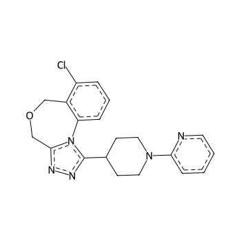 Clc1cccc2c1COCc1nnc(C3CCN(c4ccccn4)CC3)n1-2